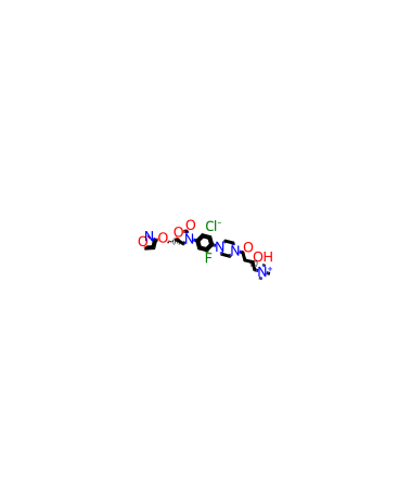 C[N+](C)(C)C[C@H](O)CC(=O)N1CCN(c2ccc(N3C[C@H](COc4ccon4)OC3=O)cc2F)CC1.[Cl-]